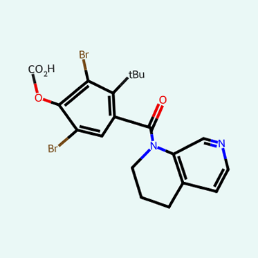 CC(C)(C)c1c(C(=O)N2CCCc3ccncc32)cc(Br)c(OC(=O)O)c1Br